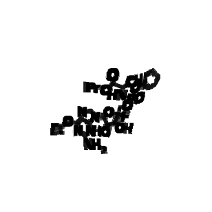 CCOc1nc(N)nc2c1ncn2[C@@H]1O[C@](F)(COP(=O)(NC(C)C(=O)OC(C)C)Oc2ccccc2)[C@@H](O)[C@H]1O